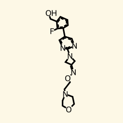 OCc1cccc(-c2cnc(N3CC(=NOCCN4CCOCC4)C3)nc2)c1F